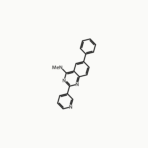 CNc1nc(-c2cccnc2)nc2ccc(-c3ccccc3)cc12